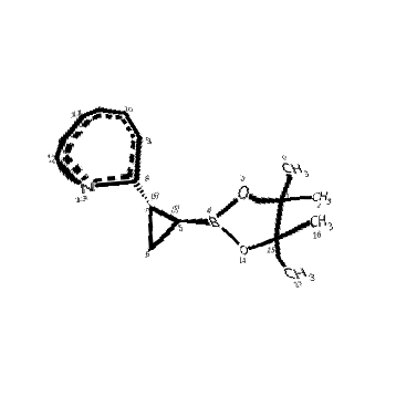 CC1(C)OB([C@H]2C[C@@H]2c2ccccn2)OC1(C)C